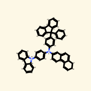 C1=Cc2c(ccc3cc(N(c4ccc(-n5c6ccccc6c6ccccc65)cc4)c4ccc(C5(c6ccccc6)c6ccccc6-c6ccccc65)cc4)ccc23)CC1